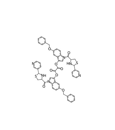 O=C(Oc1cn(C(=O)C2CSC(c3cccnc3)N2)c2ccc(OCc3ccccc3)cc12)C(=O)Oc1cn(C(=O)C2CSC(c3cccnc3)N2)c2ccc(OCc3ccccc3)cc12